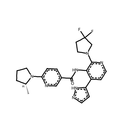 C[C@@H]1CCCN1c1ccc(C(=O)Nc2c(-c3ccn[nH]3)ccnc2N2CCC(F)(F)C2)cn1